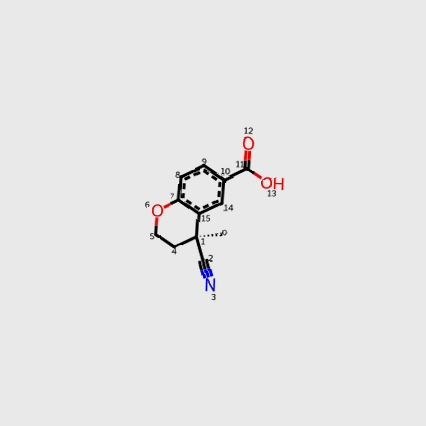 C[C@]1(C#N)CCOc2ccc(C(=O)O)cc21